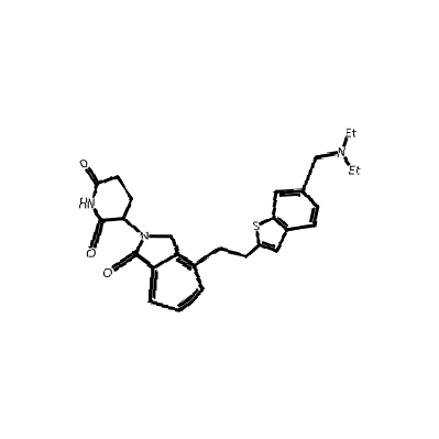 CCN(CC)Cc1ccc2cc(CCc3cccc4c3CN(C3CCC(=O)NC3=O)C4=O)sc2c1